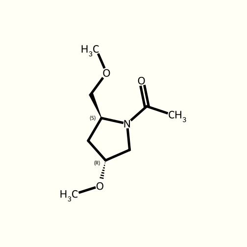 COC[C@@H]1C[C@@H](OC)CN1C(C)=O